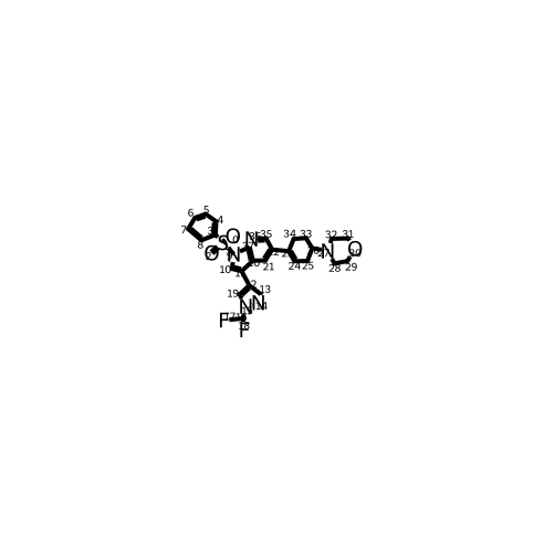 O=S(=O)(c1ccccc1)n1cc(-c2cnn(C(F)F)c2)c2cc(C3=CCC(N4CCOCC4)CC3)cnc21